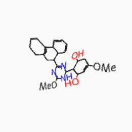 COC1=CC(O)C(C2N=C(C3CC4=C(CCCC4)C4C=CC=CC43)N=C(OC)N2)C(O)C1